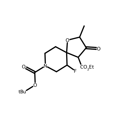 CCOC(=O)C1C(=O)C(C)OC12CCN(C(=O)OC(C)(C)C)CC2F